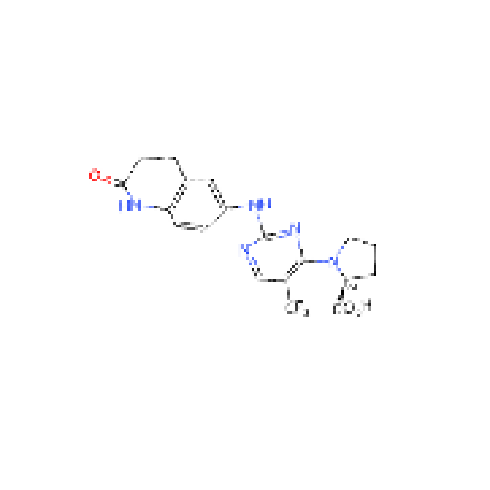 O=C1CCc2cc(Nc3ncc(C(F)(F)F)c(N4CCC[C@H]4C(=O)O)n3)ccc2N1